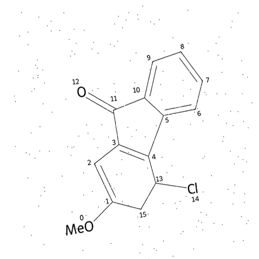 COC1=CC2=C(c3ccccc3C2=O)C(Cl)C1